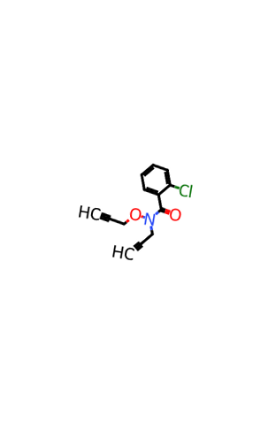 C#CCON(CC#C)C(=O)c1ccccc1Cl